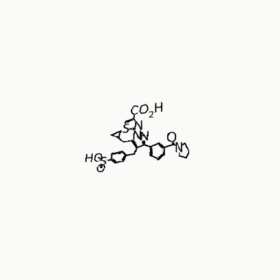 O=C(O)c1csc(-n2nc(-c3cccc(C(=O)N4CCCC4)c3)c(Cc3ccc(S(=O)O)cc3)c2CC2CC2)n1